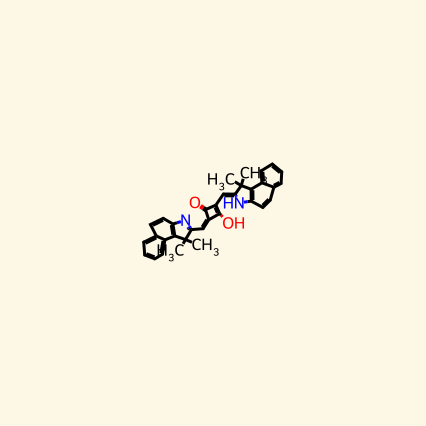 CC1(C)C(/C=C2\C(=O)C(/C=C3\Nc4ccc5ccccc5c4C3(C)C)=C2O)=Nc2ccc3ccccc3c21